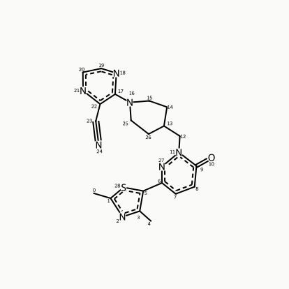 Cc1nc(C)c(-c2ccc(=O)n(CC3CCN(c4nccnc4C#N)CC3)n2)s1